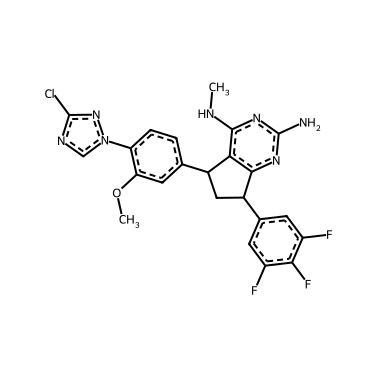 CNc1nc(N)nc2c1C(c1ccc(-n3cnc(Cl)n3)c(OC)c1)CC2c1cc(F)c(F)c(F)c1